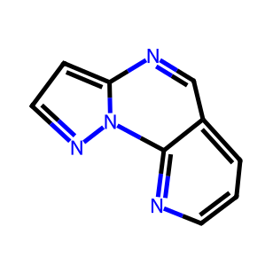 c1cnc2c(c1)cnc1ccnn12